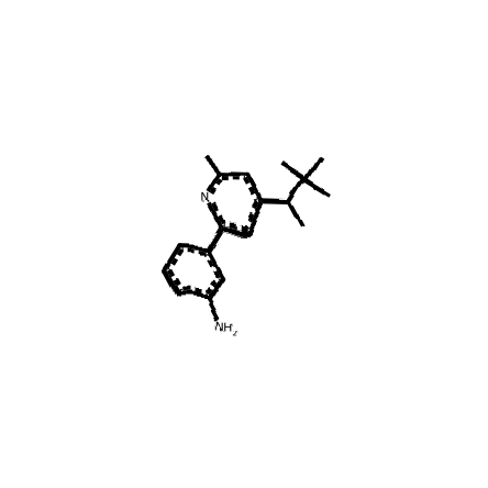 Cc1cc(C(C)C(C)(C)C)cc(-c2cccc(N)c2)n1